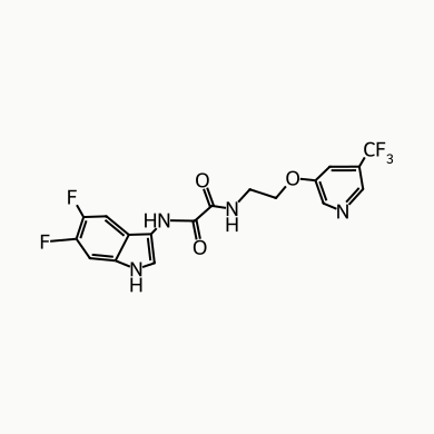 O=C(NCCOc1cncc(C(F)(F)F)c1)C(=O)Nc1c[nH]c2cc(F)c(F)cc12